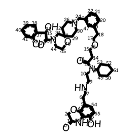 O=C1COc2c(CCNCCN(C(=O)CCOCCc3cccc(CN4CCC5(CC4)CN(C(=O)C(O)c4ccccc4Cl)CCO5)c3)C3CCCCC3)ccc(O)c2N1